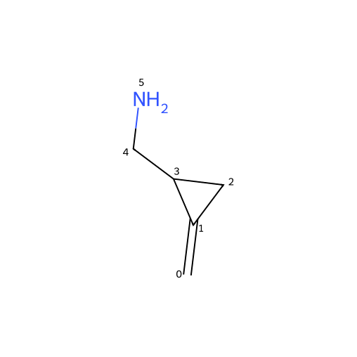 C=C1CC1CN